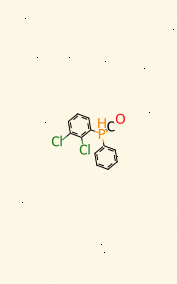 O=C=[PH](c1ccccc1)c1cccc(Cl)c1Cl